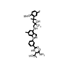 COc1ccc(F)cc1C(C)(C)CC(O)(CNc1cc(C)cc2c1cnn2-c1cccc(C(=O)N[C@H](C(N)=O)[C@@H](C)O)c1)C(F)(F)F